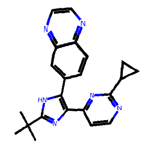 CC(C)(C)c1nc(-c2ccnc(C3CC3)n2)c(-c2ccc3nccnc3c2)[nH]1